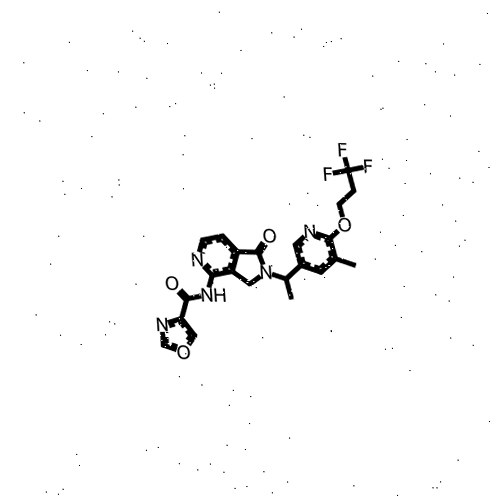 Cc1cc(C(C)N2Cc3c(ccnc3NC(=O)c3cocn3)C2=O)cnc1OCCC(F)(F)F